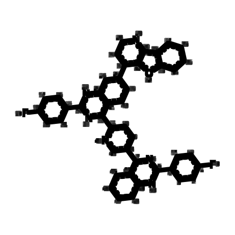 Fc1ccc(-c2nc(-c3ccc(-c4nc(-c5ccc(F)cc5)nc5cc(-c6ccnc7c6oc6ccccc67)ccc45)nc3)c3ccccc3n2)cc1